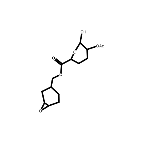 CC(=O)OC1CCC(C(=O)OCC2CCC3OC3C2)CC1O